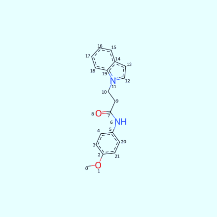 COc1ccc(NC(=O)CCn2ccc3ccccc32)cc1